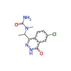 CC(c1n[nH]c(=O)c2cc(Cl)ccc12)N(C)C(N)=O